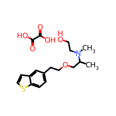 CC(COCCc1ccc2sccc2c1)N(C)CCO.O=C(O)C(=O)O